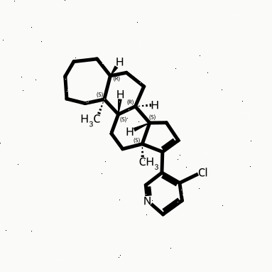 C[C@]12CCCCC[C@@H]1CC[C@@H]1[C@@H]2CC[C@]2(C)C(c3cnccc3Cl)=CC[C@@H]12